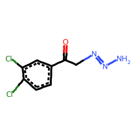 NN=NCC(=O)c1ccc(Cl)c(Cl)c1